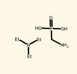 CCN(CC)CC.NCP(=O)(O)O